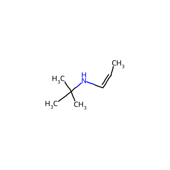 C/C=C\NC(C)(C)C